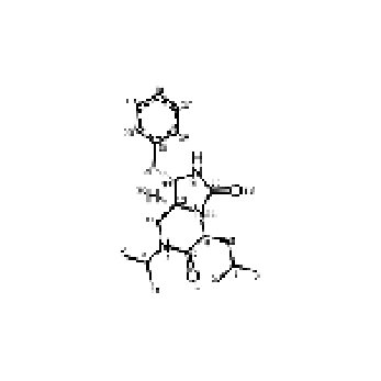 CC(C)C[C@H]1C(=O)N(C(C)C)C[C@H]2[C@H](Cc3ccccc3)NC(=O)N12